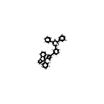 C1=CC2c3ccccc3C3(c4ccccc4Oc4cc(-c5cccc(-c6nc(-c7ccccc7)cc(-c7ccccc7)n6)c5)ccc43)C2C=C1